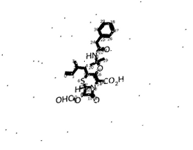 C=CC(C)CC1S[C@H]2[C@@H](OC=O)C(=O)N2C(C(=O)O)=C1OC(C)(C)NC(=O)Cc1ccccc1